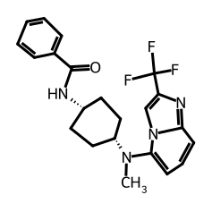 CN(c1cccc2nc(C(F)(F)F)cn12)[C@H]1CC[C@@H](NC(=O)c2ccccc2)CC1